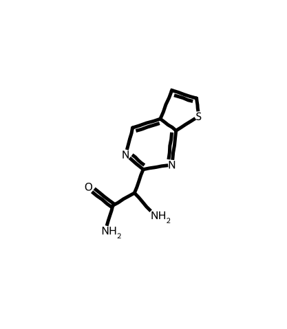 NC(=O)C(N)c1ncc2ccsc2n1